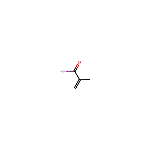 C=C(C)C(=O)[PH]